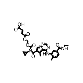 CCNC(=O)c1ccc(C)c(Nc2ncnn3cc(C(=O)N(C(=O)OCOC(=O)/C=C/C(=O)O)C4CC4)c(C)c23)c1